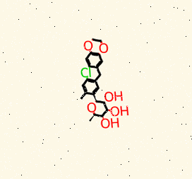 Cc1cc(Cl)c(Cc2ccc3c(c2)OCCO3)cc1[C@@H]1O[C@H](C)[C@@H](O)[C@H](O)[C@H]1O